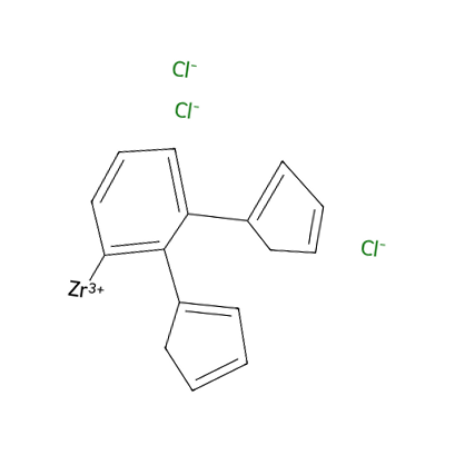 [Cl-].[Cl-].[Cl-].[Zr+3][c]1cccc(C2=CC=CC2)c1C1=CC=CC1